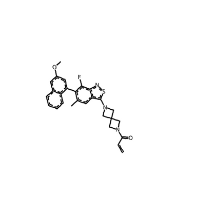 C=CC(=O)N1CC2(C1)CN(c1snc3c(F)c(-c4cc(OC)cc5ccccc45)c(C)cc13)C2